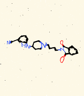 N#Cc1cccc(NC2CCN(CCCCN3C(=O)c4ccccc4C3=O)CC2)c1